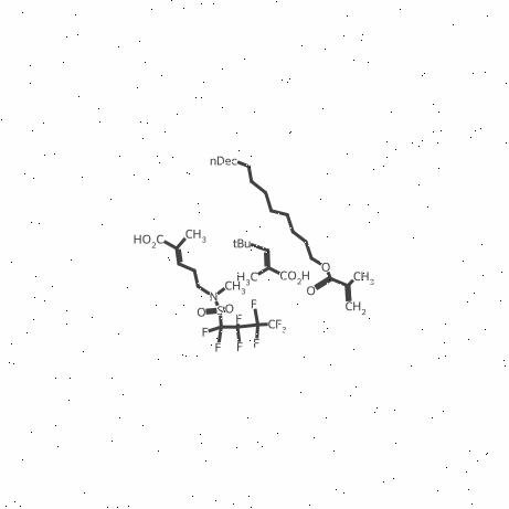 C=C(C)C(=O)OCCCCCCCCCCCCCCCCCC.CC(=CC(C)(C)C)C(=O)O.CC(=CCCN(C)S(=O)(=O)C(F)(F)C(F)(F)C(F)(F)C(F)(F)F)C(=O)O